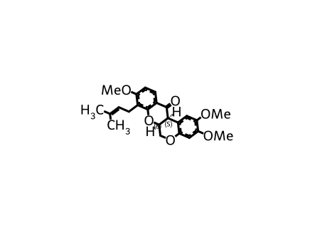 COc1cc2c(cc1OC)[C@@H]1C(=O)c3ccc(OC)c(CC=C(C)C)c3O[C@@H]1CO2